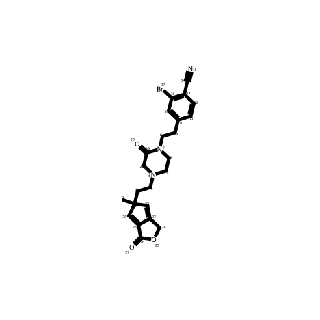 CC1(CCN2CCN(CCc3ccc(C#N)c(Br)c3)C(=O)C2)C=C2COC(=O)C2=C1